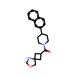 O=C(C1CC2(COCN2)C1)N1CCC(c2ccc3ccccc3c2)CC1